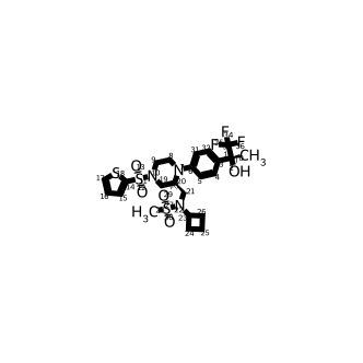 C[C@@](O)(c1ccc(N2CCN(S(=O)(=O)c3cccs3)C[C@@H]2CN(C2CCC2)S(C)(=O)=O)cc1)C(F)(F)F